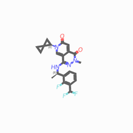 C[C@@H](Nc1nn(C)c(=O)c2cc(=O)n([C@@H]3CC34CC4)cc12)c1cccc(C(F)F)c1F